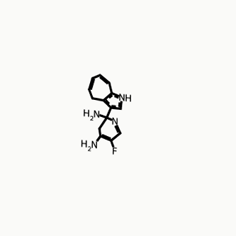 NC1=C(F)C=NC(N)(c2c[nH]c3c2CC=CC=C3)C1